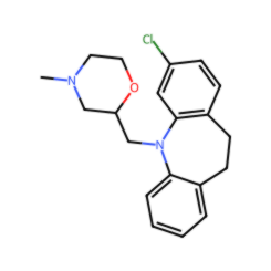 CN1CCOC(CN2c3ccccc3CCc3ccc(Cl)cc32)C1